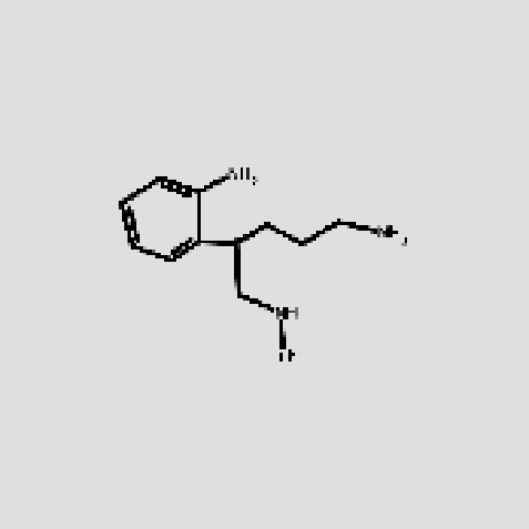 CCCN[CH][C](CCCN)c1ccccc1N